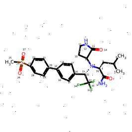 CC(C)C[C@@H](C(N)=O)N(C1CCNC1=O)[C@@H](c1ccc(-c2ccc(S(C)(=O)=O)cc2)cc1)C(F)(F)F